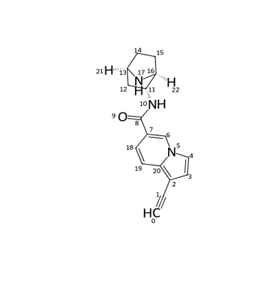 C#Cc1ccn2cc(C(=O)N[C@@H]3C[C@H]4CC[C@@H]3N4)ccc12